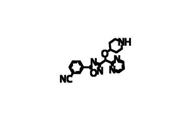 N#Cc1cccc(-c2nc(C(OC3CCNCC3)c3ncccn3)no2)c1